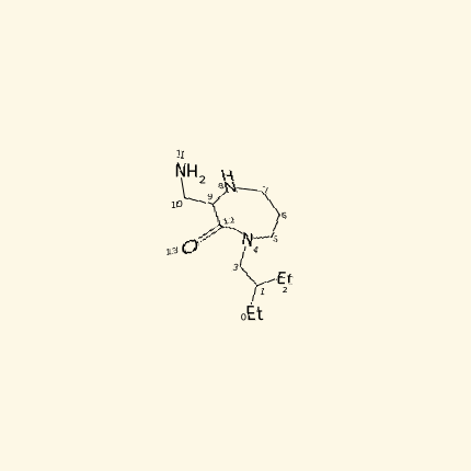 CCC(CC)CN1CCCNC(CN)C1=O